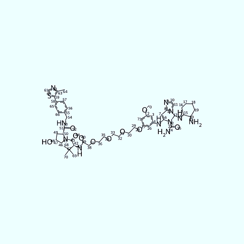 COc1cc(NC2=Cc3nccn3C(N[C@H]3CCCC[C@H]3N)N2C(N)=O)cc(OCCOCCOCCOCC(=O)N[C@H](C(=O)N2C[C@H](O)C[C@H]2C(=O)NCc2ccc(-c3scnc3C)cc2)C(C)(C)C)c1